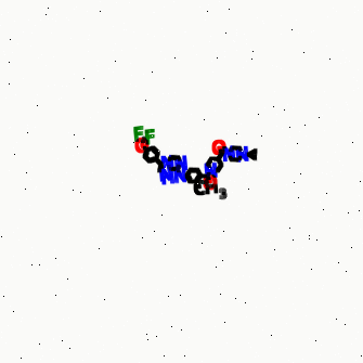 Cc1cc(Nc2nccn3c(-c4ccc(OC(F)F)cc4)cnc23)ccc1C(=O)N1CCC(C(=O)N2CCN(C3CC3)CC2)CC1